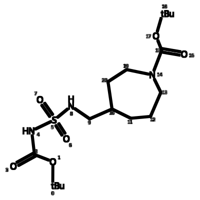 CC(C)(C)OC(=O)NS(=O)(=O)NCC1CCCN(C(=O)OC(C)(C)C)CC1